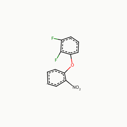 O=[N+]([O-])c1c[c]ccc1Oc1cccc(F)c1F